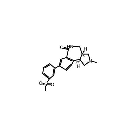 CN1C[C@H]2CNC(=O)c3cc(-c4cccc(S(C)(=O)=O)c4)ccc3[C@@H]2C1